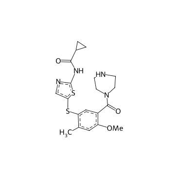 COc1cc(C)c(Sc2cnc(NC(=O)C3CC3)s2)cc1C(=O)N1CCNCC1